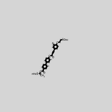 CCCCCCCCCCCCOc1ccc(C#CC(=O)Oc2ccc(-c3ccc(C(=O)O[C@H](C)CCCCCC)cc3)cc2)cc1F